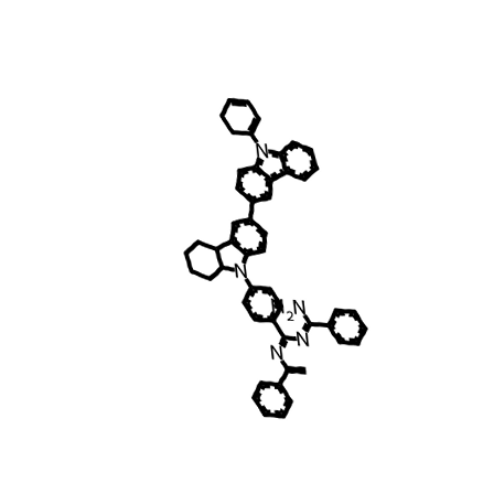 C=C(/N=C(\N=C(/N)c1ccccc1)c1ccc(N2c3ccc(-c4ccc5c(c4)c4ccccc4n5C4=CC=CCC4)cc3C3CCCCC32)cc1)c1ccccc1